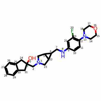 OC1(CN2CC3C(CNc4ccc(N5CCOCC5)c(F)c4)C3C2)Cc2ccccc2C1